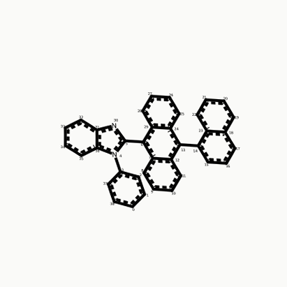 c1ccc(-n2c(-c3c4ccccc4c(-c4cccc5ccccc45)c4ccccc34)nc3ccccc32)cc1